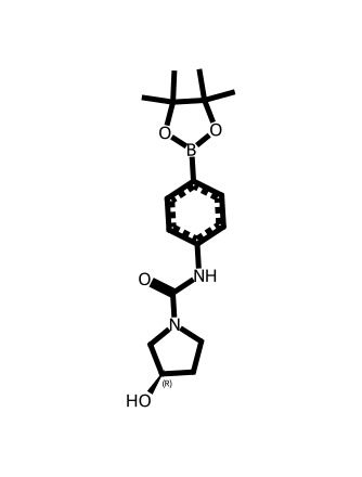 CC1(C)OB(c2ccc(NC(=O)N3CC[C@@H](O)C3)cc2)OC1(C)C